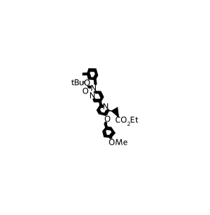 CCOC(=O)[C@H]1C[C@@H]1c1nc(-c2ccc(N(Cc3cccc(C)c3)C(=O)OC(C)(C)C)nc2)ccc1OCc1ccc(OC)cc1